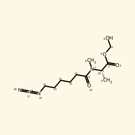 C[C@@H](C(=O)OCO)N(C)C(=O)CCCCCN=[N+]=[N-]